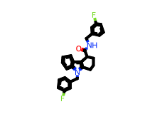 O=C(NCc1cccc(F)c1)C1CCCc2c1c1ccccc1n2Cc1cccc(F)c1